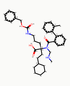 CNCN(C(=O)c1ccccc1-c1ccccc1C)[C@](CCCNC(=O)OCc1ccccc1)(CCC1CCCCC1)C(=O)O